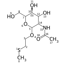 CSCCOC1OC(CO)[C@@H](O)C(O)C1NC(C)=O